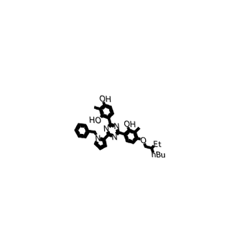 CCCCC(CC)COc1ccc(-c2nc(-c3ccc(O)c(C)c3O)nc(-c3cccn3Cc3ccccc3)n2)c(O)c1C